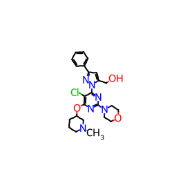 CN1CCCC(Oc2nc(N3CCOCC3)nc(-n3nc(-c4ccccc4)cc3CO)c2Cl)C1